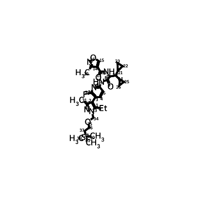 CCc1c(-c2ccc(NC(=O)[C@@H](NC(=O)c3conc3C)C(C3CC3)C3CC3)nc2F)c(C)nn1COCC[Si](C)(C)C